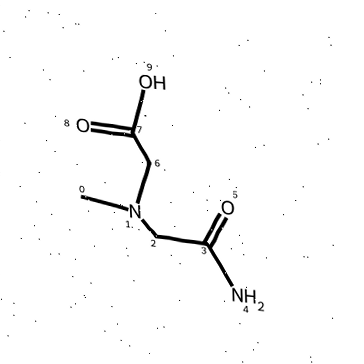 CN(CC(N)=O)CC(=O)O